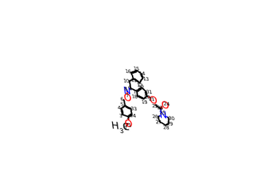 COc1ccc(CON=C(Cc2ccccc2)c2ccc(OCC(=O)N3CCCCC3)cc2)cc1